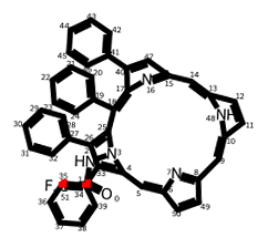 O=C(Nn1c2cc3nc(cc4ccc(cc5nc(c(-c6ccccc6)c1c(-c1ccccc1)c2-c1ccccc1)C(c1ccccc1)=C5)[nH]4)C=C3)C(F)(F)F